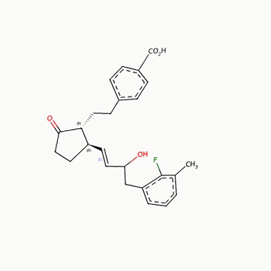 Cc1cccc(CC(O)/C=C/[C@H]2CCC(=O)[C@@H]2CCc2ccc(C(=O)O)cc2)c1F